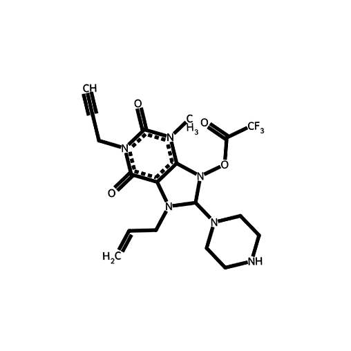 C#CCn1c(=O)c2c(n(C)c1=O)N(OC(=O)C(F)(F)F)C(N1CCNCC1)N2CC=C